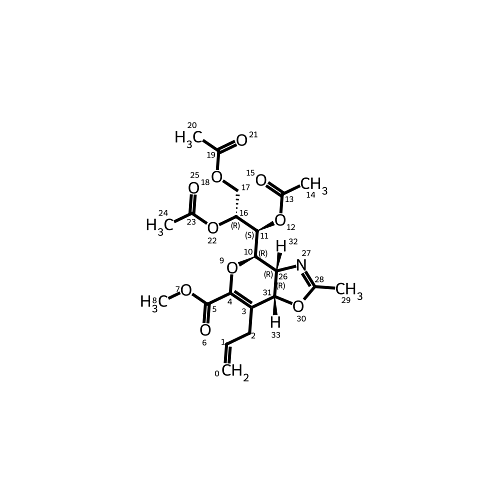 C=CCC1=C(C(=O)OC)O[C@@H]([C@H](OC(C)=O)[C@@H](COC(C)=O)OC(C)=O)[C@@H]2N=C(C)O[C@H]12